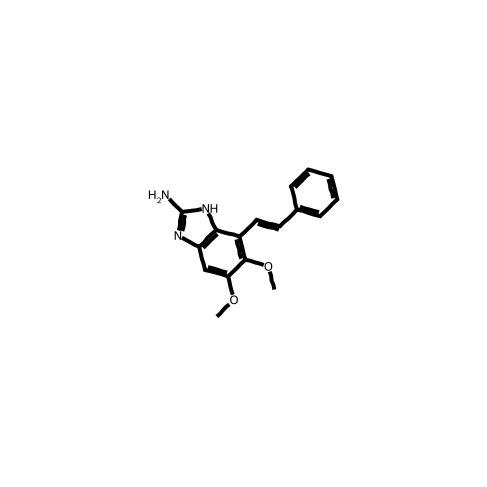 COc1cc2nc(N)[nH]c2c(C=Cc2ccccc2)c1OC